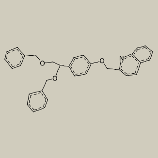 c1ccc(COCC(OCc2ccccc2)c2ccc(OCc3ccc4ccccc4n3)cc2)cc1